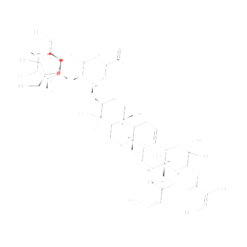 C/C=C(/C)C(=O)OC1[C@H](OC(=O)/C(C)=C\C)[C@@]2(CO)C(CC1(C)C)C1=CCC3[C@@]4(C)CC[C@H](O[C@@H]5OC(C(=O)O)[C@@H](O)C(O[C@@H]6O[C@@H](CO)C(O)[C@@H]6O)[C@@H]5O[C@@H]5OC(CO)[C@H](O)C(O)[C@@H]5O)C(C)(C)C4CC[C@@]3(C)[C@]1(C)C[C@H]2O